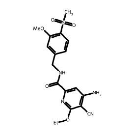 CCOc1nc(C(=O)NCc2ccc(S(C)(=O)=O)c(OC)c2)cc(N)c1C#N